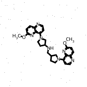 COc1ccc2nccc(N3CCC(CNC4CCN(c5ccnc6ccc(OC)nc56)C4)C3)c2n1